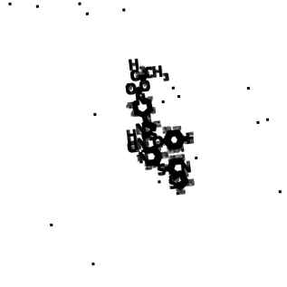 CC(C)OC(=O)N1CCC(c2csc(Nc3ncc(Sc4ccnc5ccsc45)cc3Oc3ccc(F)cc3)n2)CC1.Cl